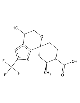 C[C@H]1C[C@@]2(CCN1C(=O)O)OCC(O)c1cc(C(F)(F)F)sc12